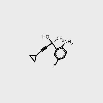 Nc1ccc(F)cc1[C@](O)(C#CC1CC1)C(F)(F)F